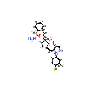 C[C@]12Cc3cnn(-c4ccc(F)c(F)c4)c3C=C1CC[C@@]2(O)CCc1ccccc1S(N)(=O)=O